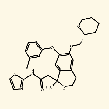 C[C@]1(CC(=O)Nc2nccs2)NCCc2cc(OC[C@H]3CCCCO3)c(Oc3cccc(F)c3)cc21